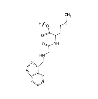 COC(=O)C(CCSC)NC(=O)CNCc1cccc2ccccc12